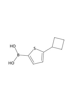 OB(O)c1ccc(C2CCC2)s1